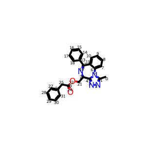 Cc1nnc2n1-c1ccccc1C(c1ccccc1)=NC2COC(=O)Cc1ccccc1